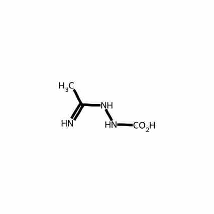 CC(=N)NNC(=O)O